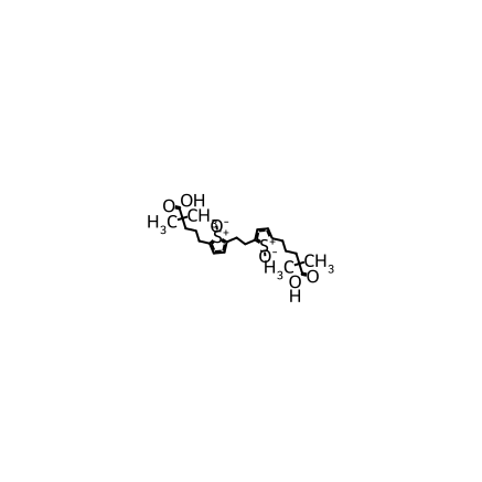 CC(C)(CCCc1ccc(CCc2ccc(CCCC(C)(C)C(=O)O)[s+]2[O-])[s+]1[O-])C(=O)O